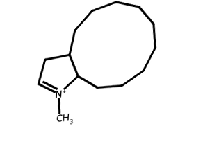 C[N+]1=CCC2CCCCCCCCCC21